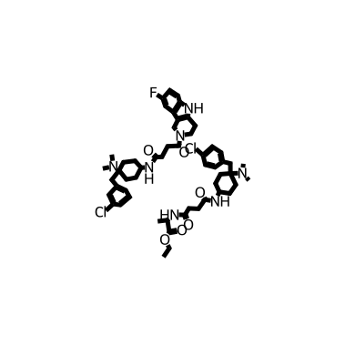 CCOC(=O)C(C)NC(=O)CCC(=O)NC1CCC(Cc2ccc(Cl)cc2)(N(C)C)CC1.CN(C)C1(Cc2cccc(Cl)c2)CCC(NC(=O)CCC(=O)N2CCc3[nH]c4ccc(F)cc4c3C2)CC1